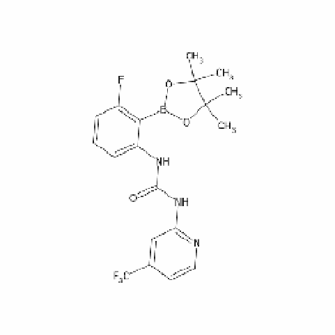 CC1(C)OB(c2c(F)cccc2NC(=O)Nc2cc(C(F)(F)F)ccn2)OC1(C)C